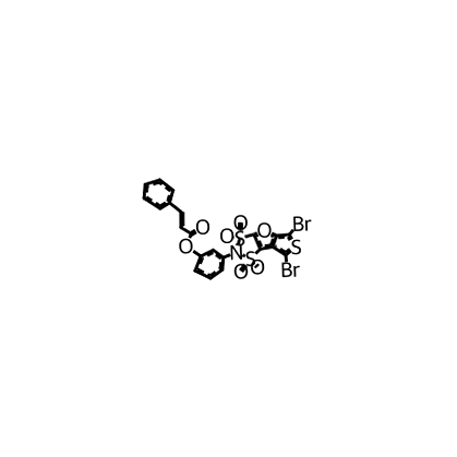 O=C(C=Cc1ccccc1)Oc1cccc(N2S(=O)(=O)c3oc4c(Br)sc(Br)c4c3S2(=O)=O)c1